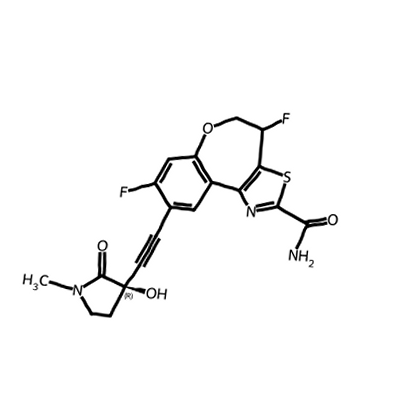 CN1CC[C@@](O)(C#Cc2cc3c(cc2F)OCC(F)c2sc(C(N)=O)nc2-3)C1=O